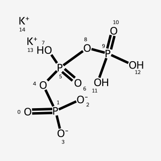 O=P([O-])([O-])OP(=O)(O)OP(=O)(O)O.[K+].[K+]